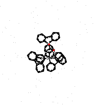 c1ccc([Si](c2ccccc2)(c2ccccc2)c2ccccc2-c2ccccc2-c2nc(-n3c4ccccc4c4ccccc43)nc(-n3c4ccccc4c4ccccc43)n2)cc1